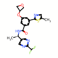 Cc1cnc(-c2cc(OC3COC3)cc(C(=O)N[C@H](C)c3cnc(C(F)F)nc3)c2)s1